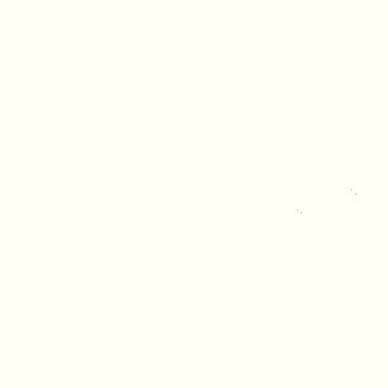 c1ccc2nc3c(ccc4ccc(-c5ccc(-c6cccc7c6sc6ccccc67)cc5)cc43)nc2c1